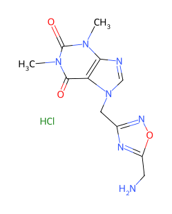 Cl.Cn1c(=O)c2c(ncn2Cc2noc(CN)n2)n(C)c1=O